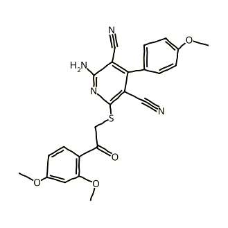 COc1ccc(-c2c(C#N)c(N)nc(SCC(=O)c3ccc(OC)cc3OC)c2C#N)cc1